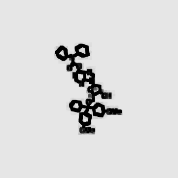 COc1ccc(C(OC[C@H]2O[C@@H](n3cnc4c(OC(=O)N(c5ccccc5)c5ccccc5)ncnc43)C[C@H]2O)(c2ccccc2)c2ccc(OC)cc2)cc1